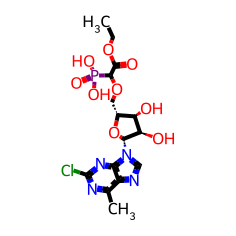 CCOC(=O)C(OC[C@H]1O[C@@H](n2cnc3c(C)nc(Cl)nc32)[C@H](O)[C@@H]1O)P(=O)(O)O